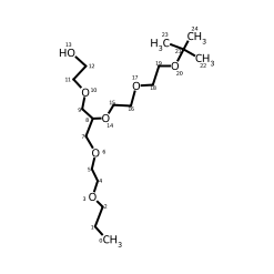 CCCOCCOCC(COCCO)OCCOCCOC(C)(C)C